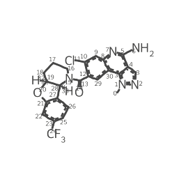 Cn1ncc2c(N)nc3cc(Cl)c(C(=O)N4CCC[C@H]5Oc6cc(C(F)(F)F)ccc6[C@H]54)cc3c21